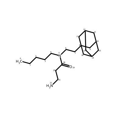 CCCCCN(CCC12CC3CC(CC(C3)C1)C2)C(=O)CCN